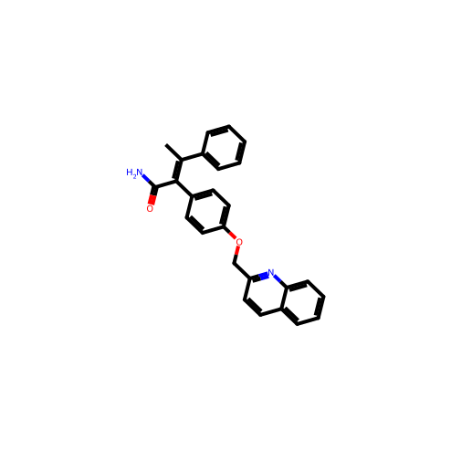 CC(=C(C(N)=O)c1ccc(OCc2ccc3ccccc3n2)cc1)c1ccccc1